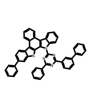 c1ccc(-c2cccc(-c3nc(-c4ccccc4)nc(-n4c5ccccc5c5c6ccccc6c6c7ccc(-c8ccccc8)cc7sc6c54)n3)c2)cc1